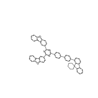 c1ccc2c(c1)-c1cccc(-c3ccc(-c4ccc(-c5nc(-c6ccc7oc8ccccc8c7c6)nc(-c6ccc7oc8ccccc8c7c6)n5)cc4)cc3)c1C21CCCCC1